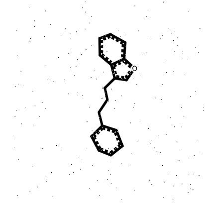 [C](CCc1ccccc1)c1coc2ccccc12